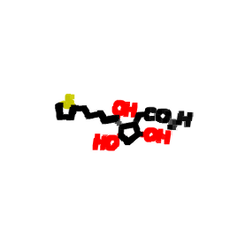 O=C(O)C[C@@H]1[C@@H](C(O)=CCCCc2cccs2)[C@H](O)C[C@@H]1O